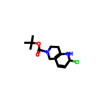 CC(C)(C)OC(=O)N1CCC2=C(C=CC(Cl)N2)C1